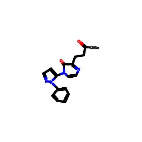 COC(=O)CCc1nccn(-c2ccnn2-c2ccccc2)c1=O